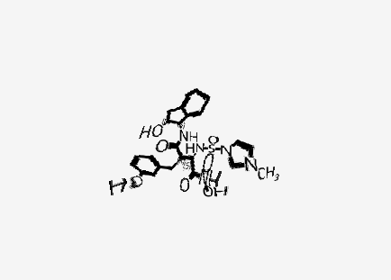 CN1C=CN(S(=O)(=O)N[C@H](C(=O)NO)[C@@H](Cc2cccc(O)c2)C(=O)N[C@H]2c3ccccc3C[C@H]2O)C1